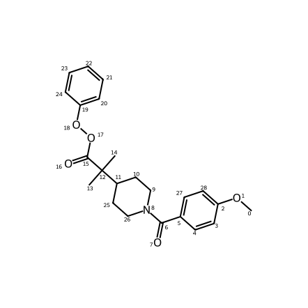 COc1ccc(C(=O)N2CCC(C(C)(C)C(=O)OOc3ccccc3)CC2)cc1